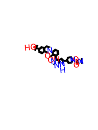 CN(C)C(=O)ON1CC=C(c2cc3c(-c4cccc(N5CCc6cc(C(C)(C)O)ccc6C5=O)c4CO)ncnc3[nH]2)CC1